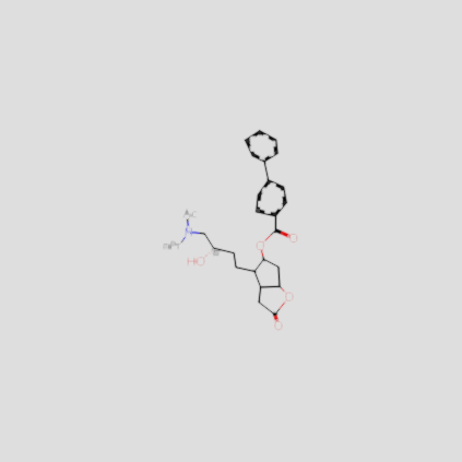 CCCN(C[C@@H](O)CCC1C(OC(=O)c2ccc(-c3ccccc3)cc2)CC2OC(=O)CC21)C(C)=O